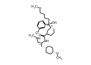 CNC[C@H](C[C@H]1CC[C@@H](OC)CC1)NC(=O)N1CCC[C@@H]([C@@](O)(CCCCOC)c2cccc(Cl)c2)C1